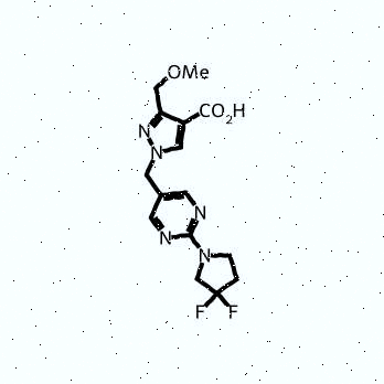 COCc1nn(Cc2cnc(N3CCC(F)(F)C3)nc2)cc1C(=O)O